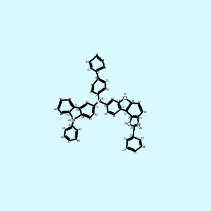 c1ccc(-c2ccc(N(c3ccc4c(c3)oc3ccc5nc(-c6ccccc6)oc5c34)c3ccc4c(c3)c3ccccc3n4-c3ccccc3)cc2)cc1